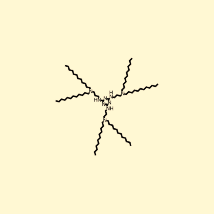 CCCCCCCCCCCCN(CCCCCCCCCCCC)CCCNc1nc(NCCCN(CCCCCCCCCCCC)CCCCCCCCCCCC)nc(NCCCN(CCCCCCCCCCCC)CCCCCCCCCCCC)n1